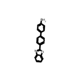 Bc1ccc(-c2ccc(-c3nc4ccccc4o3)cc2)cc1